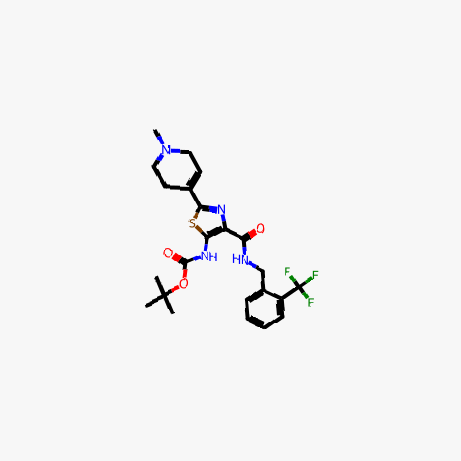 CN1CC=C(c2nc(C(=O)NCc3ccccc3C(F)(F)F)c(NC(=O)OC(C)(C)C)s2)CC1